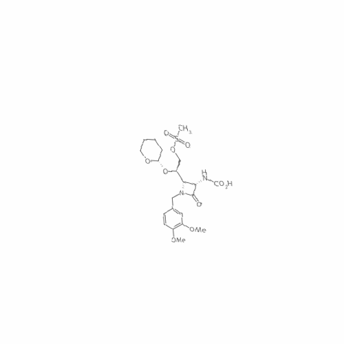 COc1ccc(CN2C(=O)[C@@H](NC(=O)O)[C@H]2[C@H](COS(C)(=O)=O)O[C@H]2CCCCO2)cc1OC